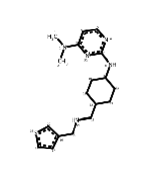 CN(C)c1ccnc(NC2CCC(CNCc3ccsc3)CC2)n1